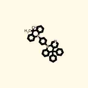 CC1(C)c2ccccc2N(c2ccc(N3c4ccccc4C(c4ccccc4)(c4ccccc4)c4ccncc43)cc2)c2ccccc21